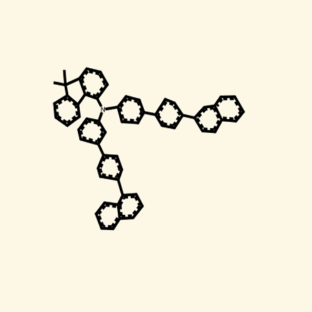 CC1(C)c2ccccc2-c2c(N(c3ccc(-c4ccc(-c5ccc6ccccc6c5)cc4)cc3)c3cccc(-c4ccc(-c5cccc6ccccc56)cc4)c3)cccc21